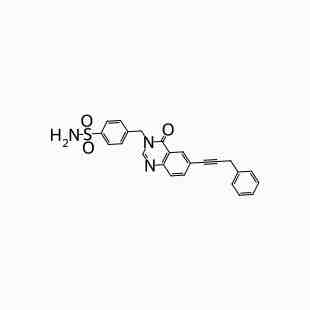 NS(=O)(=O)c1ccc(Cn2cnc3ccc(C#CCc4ccccc4)cc3c2=O)cc1